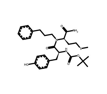 CSCC[C@H](C(N)=O)N(CCCc1ccccc1)C(=O)[C@H](Cc1ccc(O)cc1)NC(=O)OC(C)(C)C